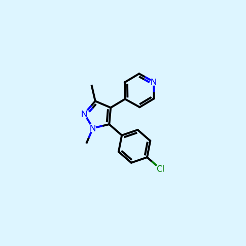 Cc1nn(C)c(-c2ccc(Cl)cc2)c1-c1ccncc1